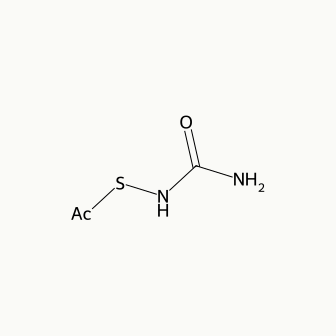 CC(=O)SNC(N)=O